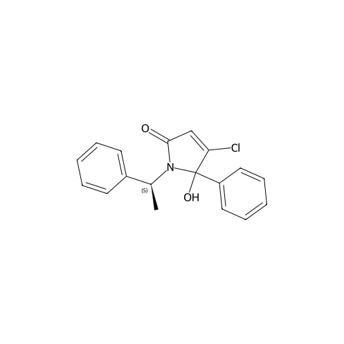 C[C@@H](c1ccccc1)N1C(=O)C=C(Cl)C1(O)c1ccccc1